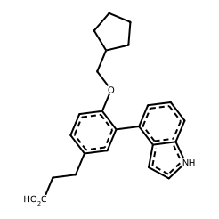 O=C(O)CCc1ccc(OCC2CCCC2)c(-c2cccc3[nH]ccc23)c1